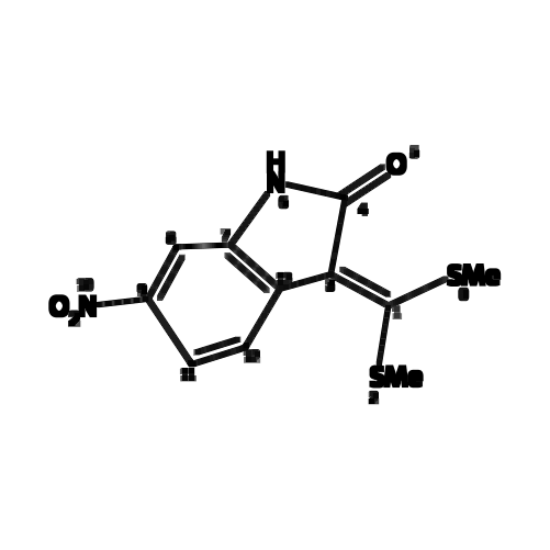 CSC(SC)=C1C(=O)Nc2cc([N+](=O)[O-])ccc21